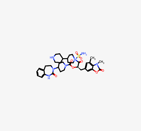 Cc1cc(C[C@@H](OC(=O)N2CCC(N3CCc4ccccc4NC3=O)CC2)C(=O)[N+]2(S(N)(=O)=O)CCC(C3CCNCC3)CC2)cc2oc(=O)n(C)c12